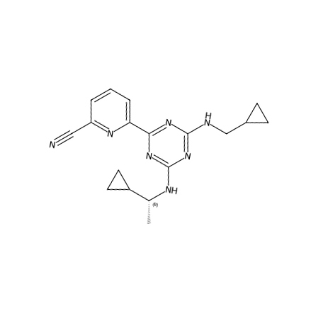 C[C@@H](Nc1nc(NCC2CC2)nc(-c2cccc(C#N)n2)n1)C1CC1